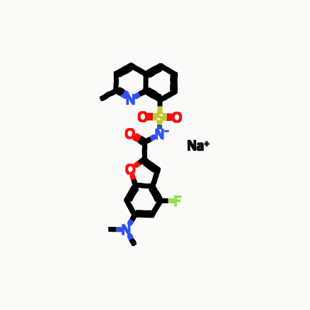 Cc1ccc2cccc(S(=O)(=O)[N-]C(=O)c3cc4c(F)cc(N(C)C)cc4o3)c2n1.[Na+]